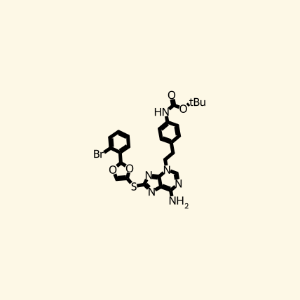 CC(C)(C)OC(=O)Nc1ccc(CCn2cnc(N)c3nc(SC4=COC(c5ccccc5Br)O4)nc2-3)cc1